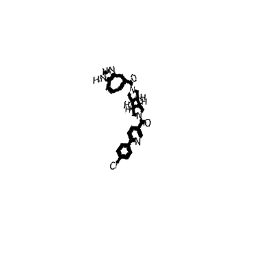 O=C(C1=CCCc2[nH]nnc2C1)N1C[C@@H]2[C@H](C1)[C@H]1CN(C(=O)c3ccc(-c4ccc(Cl)cc4)nc3)C[C@@H]21